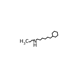 CCCNCCCCCCC1CCCCC1